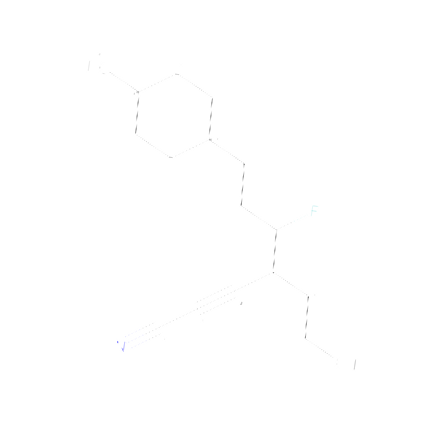 CCCC(C#CC#N)C(F)CCC1CCC(C)CC1